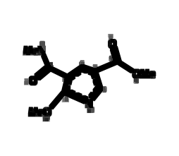 CNC(=O)c1cc(C(=O)OC)cnc1OC